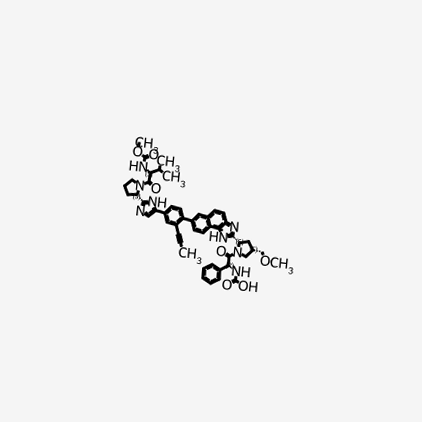 CC#Cc1cc(-c2cnc([C@@H]3CCCN3C(=O)[C@@H](NC(=O)OC)C(C)C)[nH]2)ccc1-c1ccc2c(ccc3nc([C@@H]4C[C@H](COC)CN4C(=O)[C@H](NC(=O)O)c4ccccc4)[nH]c32)c1